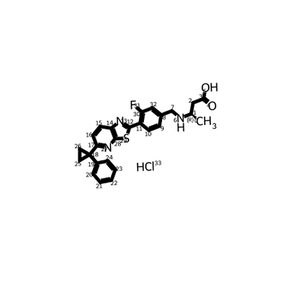 C[C@H](CC(=O)O)NCc1ccc(-c2nc3ccc(C4(c5ccccc5)CC4)nc3s2)c(F)c1.Cl